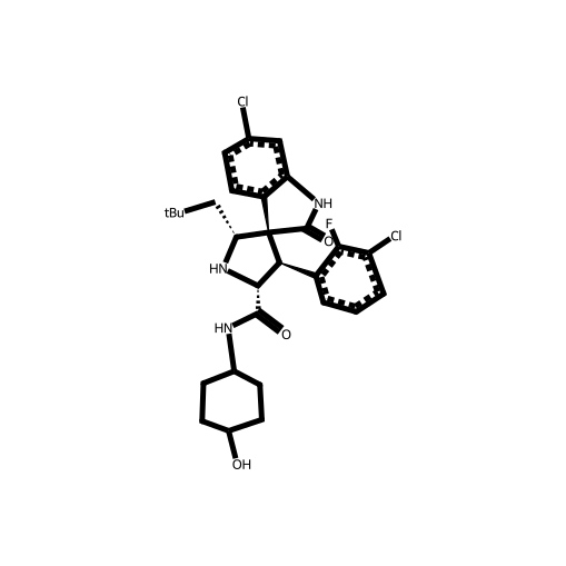 CC(C)(C)C[C@H]1N[C@@H](C(=O)NC2CCC(O)CC2)[C@H](c2cccc(Cl)c2F)[C@@]12C(=O)Nc1cc(Cl)ccc12